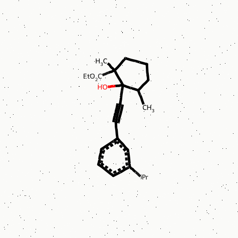 CCOC(=O)C1(C)CCCC(C)C1(O)C#Cc1cccc(C(C)C)c1